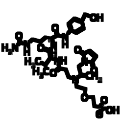 C=C(CN1C(=O)C=CC1=O)N(CCOCCS(=O)(=O)O)CCC(=O)N[C@H](C(=O)N[C@@H](CCCNC(N)=O)C(=O)Nc1ccc(CO)cc1)C(C)C